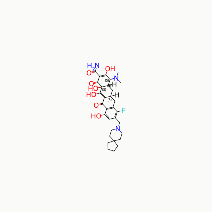 CN(C)[C@@H]1C(O)=C(C(N)=O)C(=O)[C@@]2(O)C(O)=C3C(=O)c4c(O)cc(CN5CCC6(CCCC6)CC5)c(F)c4C[C@H]3C[C@@H]12